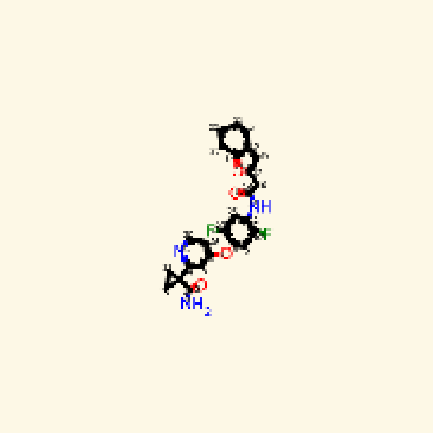 NC(=O)C1(c2cc(Oc3cc(F)c(NC(=O)Cc4cc5ccccc5o4)cc3F)ccn2)CC1